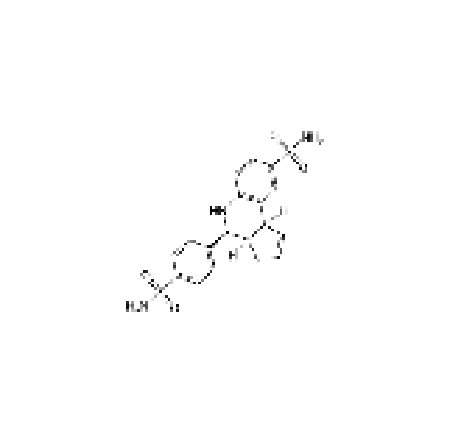 NS(=O)(=O)c1ccc([C@H]2Nc3ccc(S(N)(=O)=O)cc3[C@H]3C=CC[C@H]32)cc1